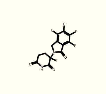 O=C1CCC(F)(N2Cc3c(F)c(F)c(F)c(F)c3C2=O)C(=O)N1